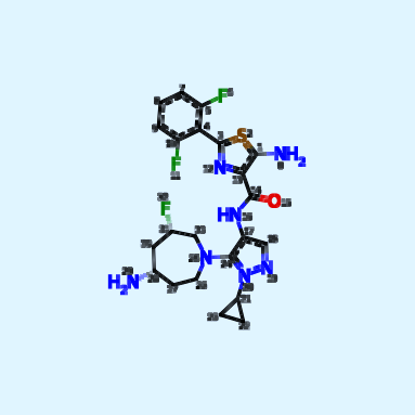 Nc1sc(-c2c(F)cccc2F)nc1C(=O)Nc1cnn(C2CC2)c1N1CC[C@H](N)C[C@H](F)C1